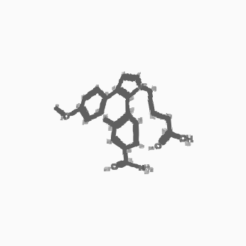 COc1ccc(-c2ccn(CCCC(=O)O)c2-c2ccc(C(N)=O)cc2C)cc1